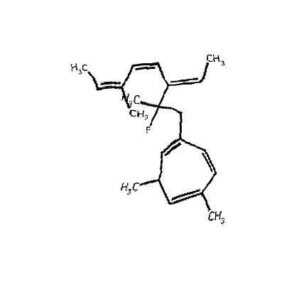 C\C=C(C)/C=C\C(=C/C)C(C)(F)CC1=CC(C)C=C(C)C=C1